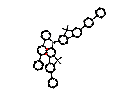 CC1(C)c2cc(-c3ccccc3)ccc2-c2ccc(N(c3ccc4c(c3)C(C)(C)c3cc(-c5ccc(-c6ccccc6)cc5)ccc3-4)c3ccccc3-c3ccc(-c4ccccc4)cc3)cc21